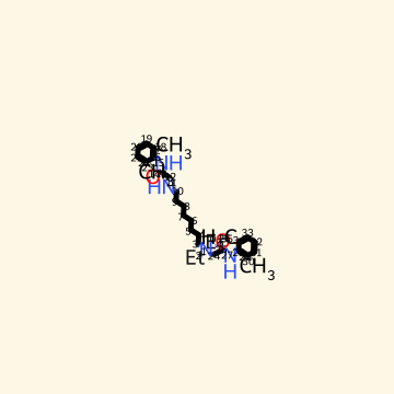 CC[N+](CC)(CCCCCCCCNCC(=O)Nc1c(C)cccc1C)CC(=O)Nc1c(C)cccc1C